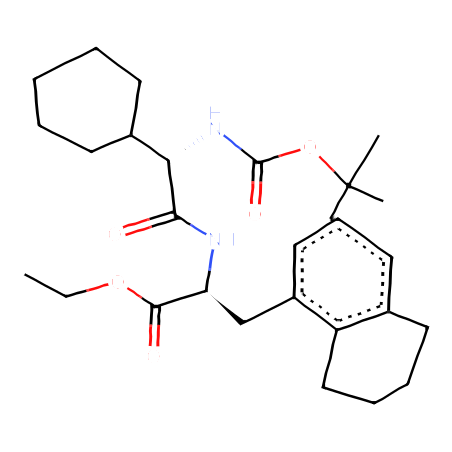 CCOC(=O)[C@H](Cc1cccc2c1CCCC2)NC(=O)[C@@H](NC(=O)OC(C)(C)C)C1CCCCC1